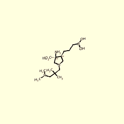 CN(C)CC(C)(C)CN1C[C@H](CCCB(O)O)[C@@](N)(C(=O)O)C1